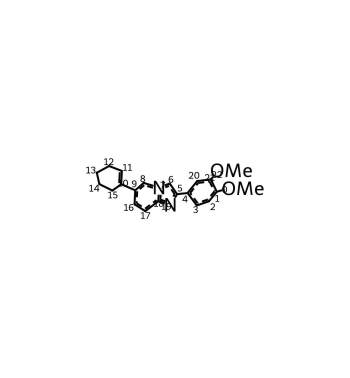 COc1ccc(-c2cn3cc(C4=CCCCC4)ccc3n2)cc1OC